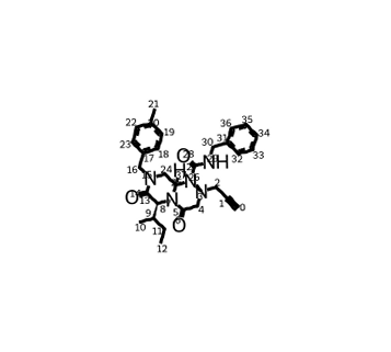 C#CCN1CC(=O)N2[C@@H](C(C)CC)C(=O)N(Cc3ccc(C)cc3)C[C@@H]2N1C(=O)NCc1ccccc1